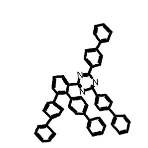 c1ccc(-c2ccc(-c3nc(-c4ccc(-c5ccccc5)cc4)nc(-c4cccc(-c5ccc(-c6ccccc6)cc5)c4-c4ccc(-c5ccccc5)cc4)n3)cc2)cc1